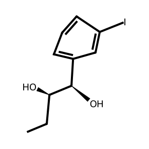 CC[C@@H](O)[C@H](O)c1cccc(I)c1